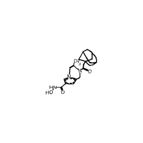 CC1Cn2cc(C(=O)NO)cc2CN1C(=O)C12CC3CC(CC(C3)C1)C2